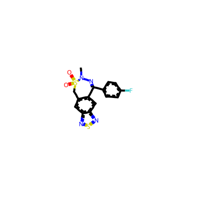 CN1N=C(c2ccc(F)cc2)c2cc3nsnc3cc2CS1(=O)=O